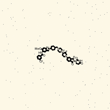 COc1cc2nn(C3CCC(CN4CCN([C@@H]5CCN(c6ccc7c(c6)C(=O)N(N6CCC(=O)NC6=O)C7=O)CC5(F)F)CC4)CC3)cc2cc1NC(=O)c1cccc(C(F)(F)F)c1